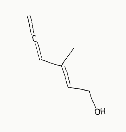 C=C=C/C(C)=C/CO